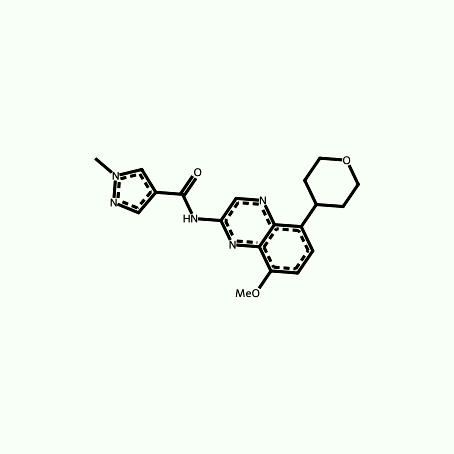 COc1ccc(C2CCOCC2)c2ncc(NC(=O)c3cnn(C)c3)nc12